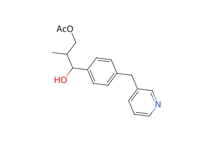 CC(=O)OCC(C)C(O)c1ccc(Cc2cccnc2)cc1